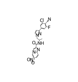 CC(Cn1ccc(-c2cc(F)c(C#N)c(Cl)c2)n1)NC(=O)c1cn2cc([N+](=O)[O-])ccc2n1